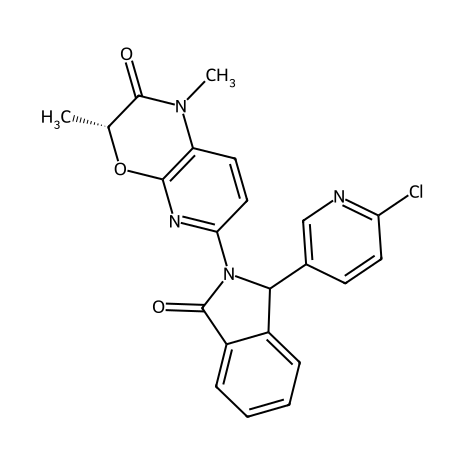 C[C@H]1Oc2nc(N3C(=O)c4ccccc4C3c3ccc(Cl)nc3)ccc2N(C)C1=O